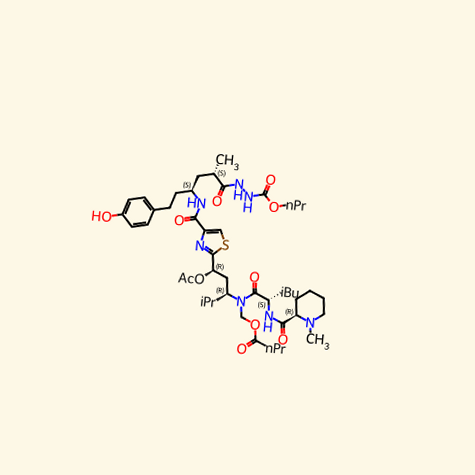 CCCOC(=O)NNC(=O)[C@@H](C)C[C@H](CCc1ccc(O)cc1)NC(=O)c1csc([C@@H](C[C@H](C(C)C)N(COC(=O)CCC)C(=O)[C@@H](NC(=O)[C@H]2CCCCN2C)C(C)CC)OC(C)=O)n1